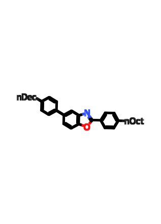 CCCCCCCCCCc1ccc(-c2ccc3oc(-c4ccc(CCCCCCCC)cc4)nc3c2)cc1